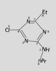 CCCNc1nc(Cl)nc(CC)n1